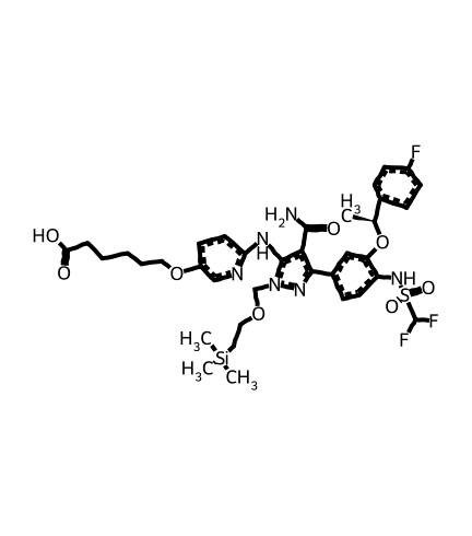 C[C@H](Oc1cc(-c2nn(COCC[Si](C)(C)C)c(Nc3ccc(OCCCCCC(=O)O)cn3)c2C(N)=O)ccc1NS(=O)(=O)C(F)F)c1ccc(F)cc1